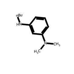 CCCCNc1[c]ccc(N(C)C)c1